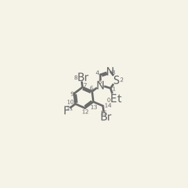 [CH2]CC1SN=CN1c1c(Br)cc(F)cc1CBr